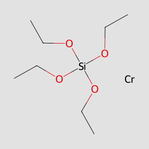 CCO[Si](OCC)(OCC)OCC.[Cr]